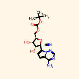 CC(C)(C)OC(=O)OC[C@H]1O[C@@](C#N)(c2ccc3c(N)ncnn23)[C@H](O)[C@@H]1O